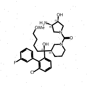 COCCCC[C@@](O)(c1cccc(Cl)c1-c1cccc(F)c1)[C@@H]1CCCN(C(=O)N2C[C@@H](N)[C@@H](O)C2)C1